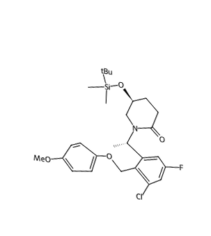 COc1ccc(OCc2c(Cl)cc(F)cc2[C@H](C)N2C[C@@H](O[Si](C)(C)C(C)(C)C)CCC2=O)cc1